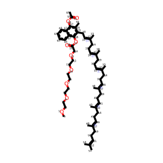 COCCOCCOCCOCCOCC(=O)Oc1c(C/C=C(\C)CC/C=C(\C)CC/C=C(\C)CC/C=C(\C)CC/C=C(\C)CC/C=C(\C)CCC=C(C)C)c(C)c(OC(C)=O)c2ccccc12